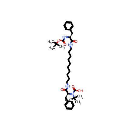 CC(C)(C)OC(=O)N[C@@H](Cc1ccccc1)C(=O)NCCCCCCCCCCNC(=O)[C@H](Cc1ccccc1)N(C(=O)O)C(C)(C)C